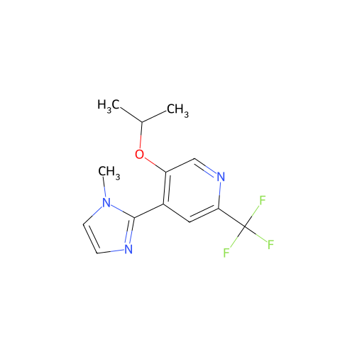 CC(C)Oc1cnc(C(F)(F)F)cc1-c1nccn1C